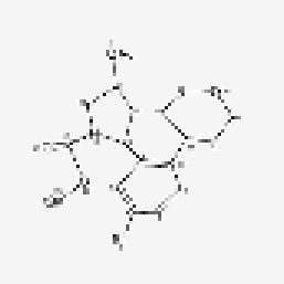 CC(=O)OC1CC(c2cc(Br)ccc2C2CCOCC2)N(C(=O)OC(C)(C)C)C1